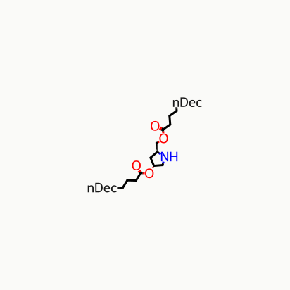 CCCCCCCCCCCCCC(=O)OC[C@@H]1C[C@@H](OC(=O)CCCCCCCCCCCCC)CN1